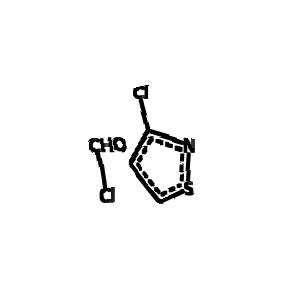 Clc1ccsn1.O=CCl